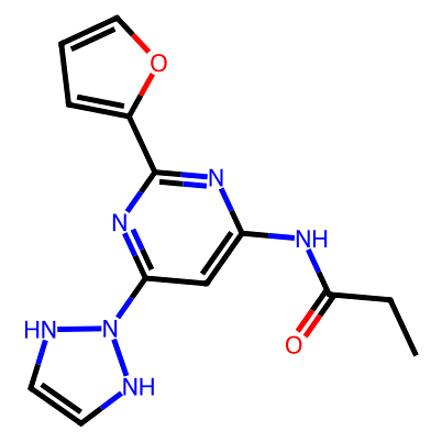 CCC(=O)Nc1cc(N2NC=CN2)nc(-c2ccco2)n1